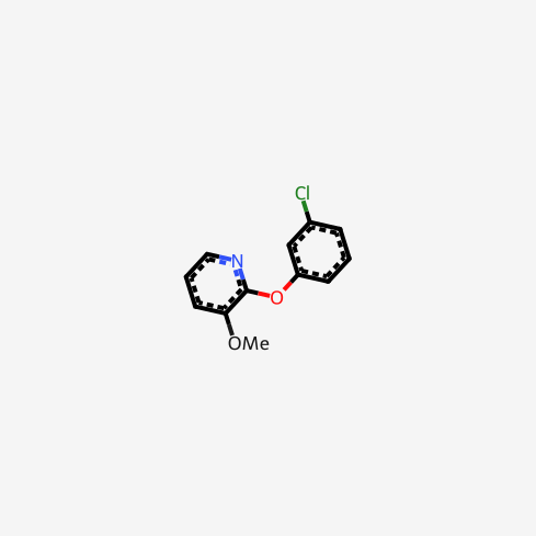 COc1cccnc1Oc1cccc(Cl)c1